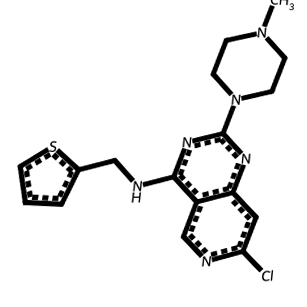 CN1CCN(c2nc(NCc3cccs3)c3cnc(Cl)cc3n2)CC1